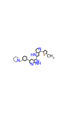 Cc1ccc(-c2nccc3[nH]c(-c4n[nH]c5ncc(-c6cccc(CN7CCCCC7)c6)cc45)cc23)s1